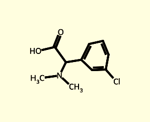 CN(C)C(C(=O)O)c1cccc(Cl)c1